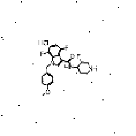 COc1ccc(Cn2cc(C(=O)NC3CCNC[C@@H]3F)c3c(F)ccc(F)c32)cc1.Cl